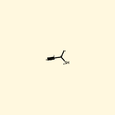 [C]#CC(C)S